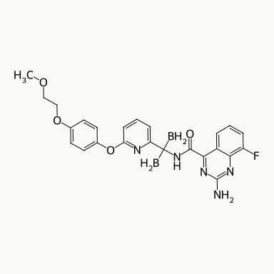 BC(B)(NC(=O)c1nc(N)nc2c(F)cccc12)c1cccc(Oc2ccc(OCCOC)cc2)n1